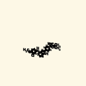 COc1ccc(Nc2ncnc3[nH]c(C4=CCN(C(=O)OC(C)(C)C)CC4)cc23)cc1Cl